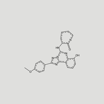 COc1ccc(-c2nc3c4cccc(O)c4nc(Nc4ccccnc4=O)n3n2)cc1